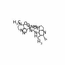 Cc1c(C2CC2)nc2c(c1NC(O)N=S(N)(=O)c1cnn3c1C(=O)N(C)CC3)CCC2